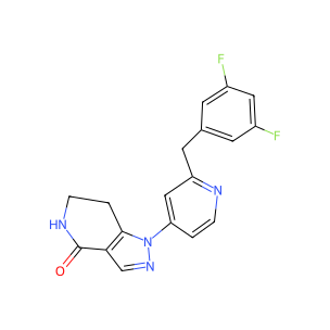 O=C1NCCc2c1cnn2-c1ccnc(Cc2cc(F)cc(F)c2)c1